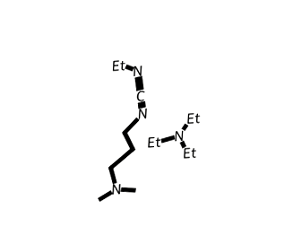 CCN(CC)CC.CCN=C=NCCCN(C)C